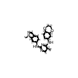 Cn1ncc2ccc(Nc3ncc(F)c(Nc4ccc5c(c4)OCCO5)n3)cc21